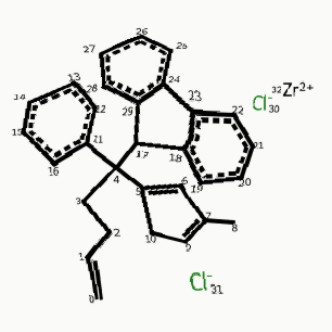 C=CCCC(C1=CC(C)=CC1)(c1ccccc1)C1c2ccccc2-c2ccccc21.[Cl-].[Cl-].[Zr+2]